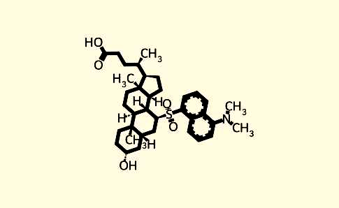 C[C@H](CCC(=O)O)[C@H]1CC[C@H]2[C@H]3[C@H](CC[C@]12C)[C@@]1(C)CC[C@@H](O)C[C@H]1C[C@@H]3S(=O)(=O)c1cccc2c(N(C)C)cccc12